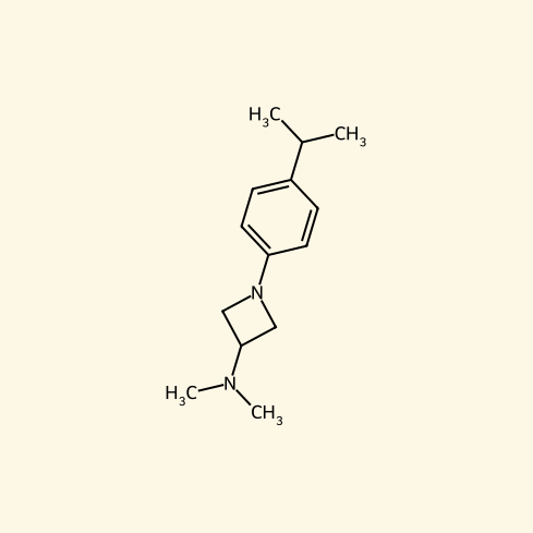 CC(C)c1ccc(N2CC(N(C)C)C2)cc1